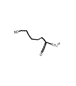 N#CCCCC(=O)C(=O)O